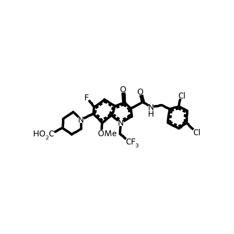 COc1c(N2CCC(C(=O)O)CC2)c(F)cc2c(=O)c(C(=O)NCc3ccc(Cl)cc3Cl)cn(CC(F)(F)F)c12